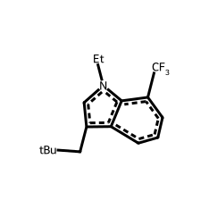 CCn1cc(CC(C)(C)C)c2cccc(C(F)(F)F)c21